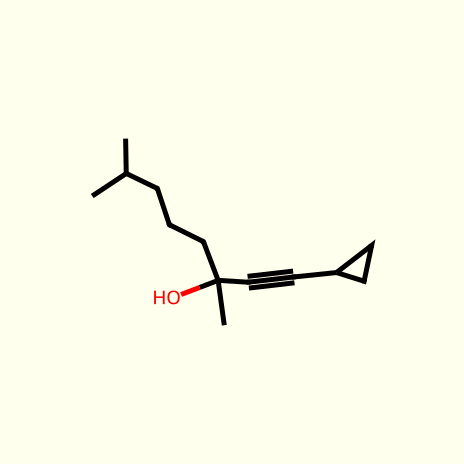 CC(C)CCCC(C)(O)C#CC1CC1